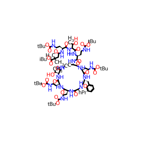 CCC[C@@H]1NC(=O)[C@@H](Cc2ccccc2)NC(=O)[C@H](CCNC(=O)OC(C)(C)C)NC(=O)[C@@H](NC(=O)[C@H](CCNC(=O)OC(C)(C)C)NC(=O)[C@@H](NC(=O)[C@H](CCNC(=O)OC(C)(C)C)NC(=O)CC(C)(C)C(=O)OC(C)CC)C(C)O)CCNC(=O)[C@H](C(C)O)NC(=O)[C@H](CCNC(=O)OC(C)(C)C)NC(=O)[C@H](CCNC(=O)OC(C)(C)C)NC1=O